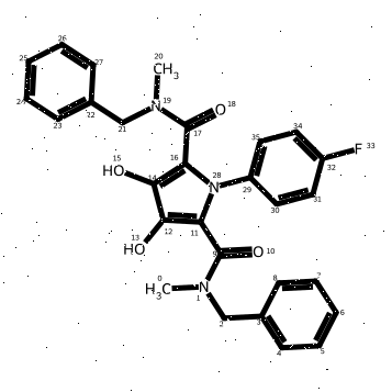 CN(Cc1ccccc1)C(=O)c1c(O)c(O)c(C(=O)N(C)Cc2ccccc2)n1-c1ccc(F)cc1